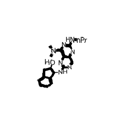 CCCNc1nc(N(C)C)c2nc(N[C@@H]3c4ccccc4C[C@H]3O)ncc2n1